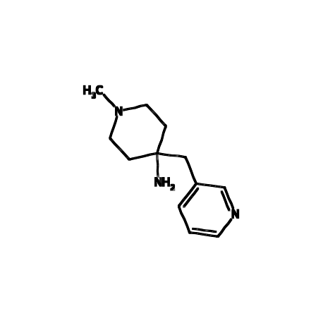 CN1CCC(N)(Cc2cccnc2)CC1